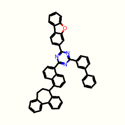 c1ccc(-c2cccc(-c3nc(-c4ccc5c(c4)oc4ccccc45)nc(-c4cccc5c(C6CCc7ccccc7-c7ccccc76)cccc45)n3)c2)cc1